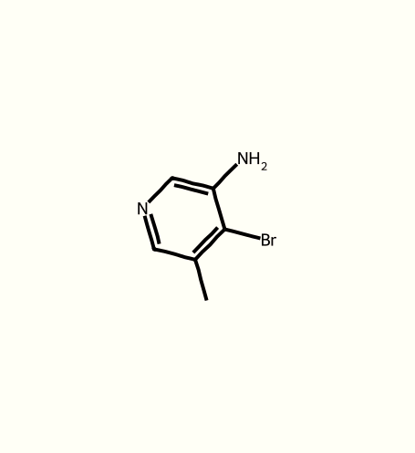 Cc1cncc(N)c1Br